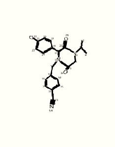 CC(C)N1CC(=O)N(Cc2ccc(C#N)cc2)C(c2ccc(Cl)cc2)C1=O